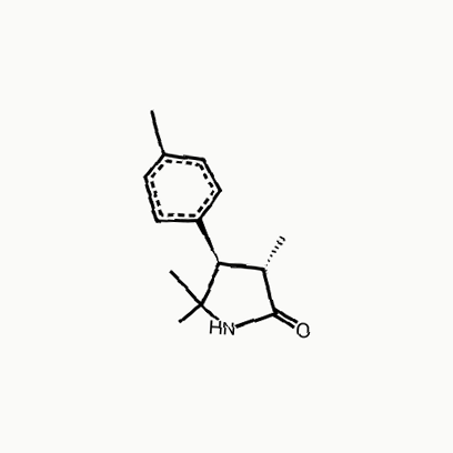 Cc1ccc([C@H]2[C@H](C)C(=O)NC2(C)C)cc1